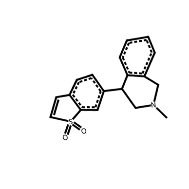 CN1Cc2ccccc2C(c2ccc3c(c2)S(=O)(=O)C=C3)C1